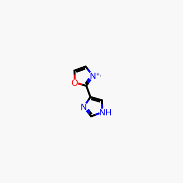 C1=COC(c2c[nH]cn2)=[N+]1